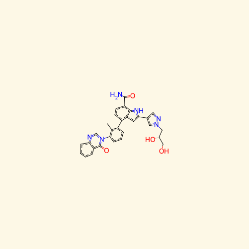 Cc1c(-c2ccc(C(N)=O)c3[nH]c(-c4cnn(C[C@@H](O)CO)c4)cc23)cccc1-n1cnc2ccccc2c1=O